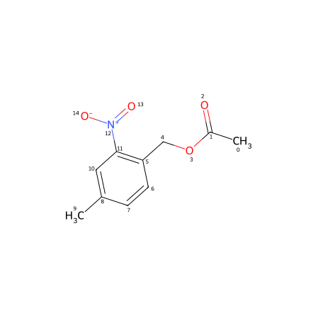 CC(=O)OCc1ccc(C)cc1[N+](=O)[O-]